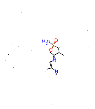 C=N/C(C)=C\N=C(/C)[C@H](C)[C@@H](C)S(N)(=O)=O